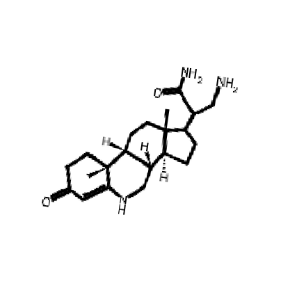 C[C@]12CCC(=O)C=C1NC[C@@H]1[C@H]2CC[C@]2(C)C(C(CN)C(N)=O)CC[C@@H]12